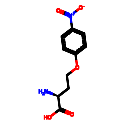 N[C@@H](CCOc1ccc([N+](=O)[O-])cc1)C(=O)O